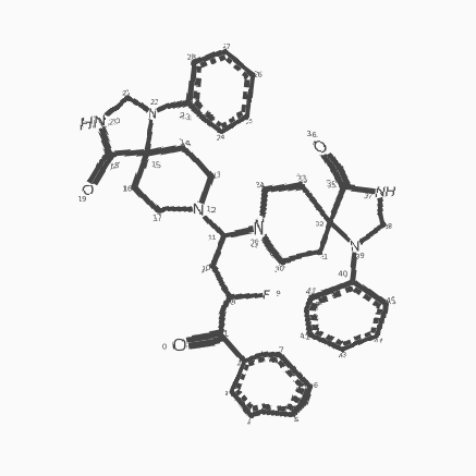 O=C(c1ccccc1)C(F)CC(N1CCC2(CC1)C(=O)NCN2c1ccccc1)N1CCC2(CC1)C(=O)NCN2c1ccccc1